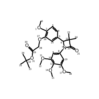 COc1ccc(C2N(c3cc(OC)c(OC)c(OC)c3)C(=O)C2(C)C)cc1OCC(=O)OC(C)(C)C